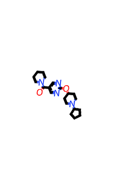 O=C(c1cnc(OC2CCN(C3CCCC3)CC2)nc1)N1CCCCC1